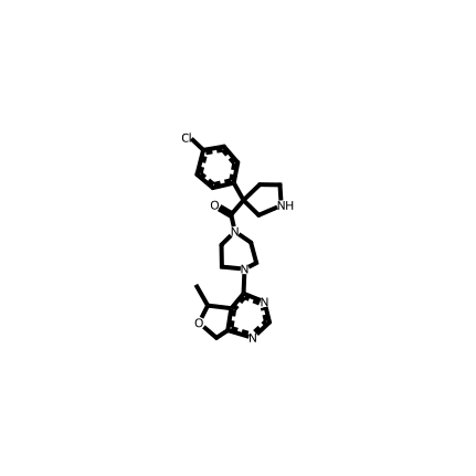 CC1OCc2ncnc(N3CCN(C(=O)C4(c5ccc(Cl)cc5)CCNC4)CC3)c21